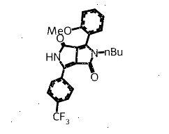 CCCCN1C(=O)C2=C(c3ccc(C(F)(F)F)cc3)NC(=O)C2=C1c1ccccc1OC